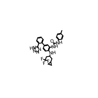 Cc1ccc(NC(=O)Nc2cc(-c3ccccc3-c3nnn[nH]3)ccc2NC(CC2CC2)CC(F)(F)F)cc1